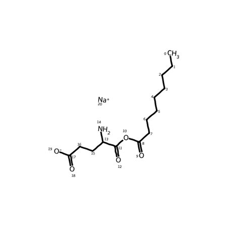 CCCCCCCCC(=O)OC(=O)C(N)CCC(=O)[O-].[Na+]